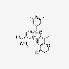 Cc1cc([C@H](Oc2c(F)cc3c(c2C)OCCC3=O)c2ccc(C(N)=O)cc2)cc(C)n1